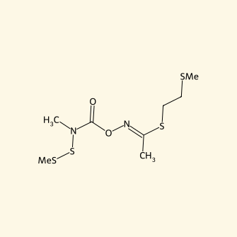 CSCCSC(C)=NOC(=O)N(C)SSC